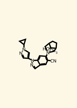 CC1(O)C2CCC1CN(c1cc3c(cnn3-c3cnn(C4CC4)c3)cc1C#N)C2